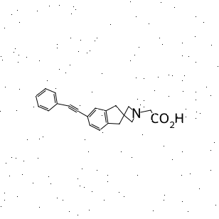 O=C(O)CN1CC2(Cc3ccc(C#Cc4ccccc4)cc3C2)C1